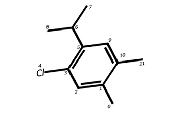 Cc1cc(Cl)c(C(C)C)cc1C